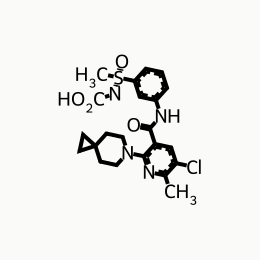 Cc1nc(N2CCC3(CC2)CC3)c(C(=O)Nc2cccc(S(C)(=O)=NC(=O)O)c2)cc1Cl